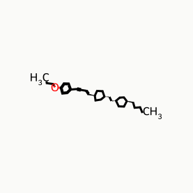 CCCCC[C@H]1CC[C@H](CC[C@H]2CC[C@H](C=CC#Cc3ccc(OCCC)cc3)CC2)CC1